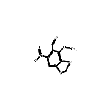 COc1c(C=O)c([N+](=O)[O-])cc2c1OCO2